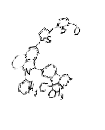 CC1(C)c2ccccc2-c2ccc(C3c4cc(-c5ccc(-c6ccc(C=O)s6)s5)cc5c4C(CCC5)N3c3ccccc3)cc21